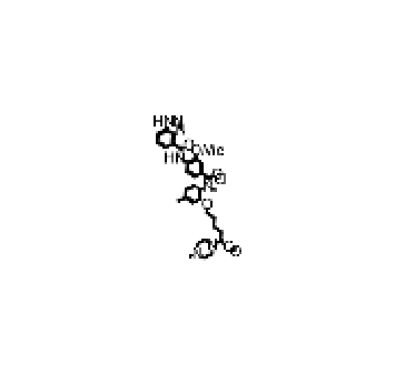 COc1cc(C(=O)N(C)c2ccc(C)cc2OCCCCC(=C=O)N2CCN(C)CC2)ccc1NC(=O)c1cccc2[nH]nnc12.Cl